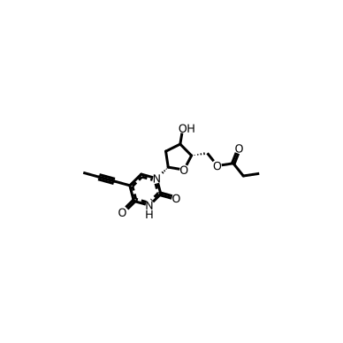 CC#Cc1cn([C@@H]2CC(O)[C@H](COC(=O)CC)O2)c(=O)[nH]c1=O